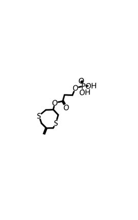 C=C1CSCC(OC(=O)CCOP(=O)(O)O)CSC1